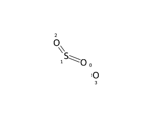 O=S=O.[O]